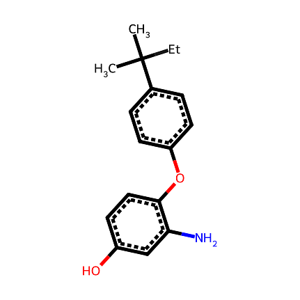 CCC(C)(C)c1ccc(Oc2ccc(O)cc2N)cc1